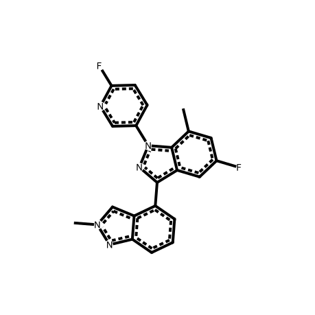 Cc1cc(F)cc2c(-c3cccc4nn(C)cc34)nn(-c3ccc(F)nc3)c12